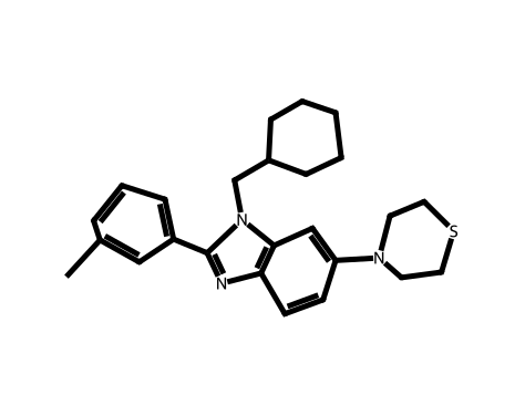 Cc1cccc(-c2nc3ccc(N4CCSCC4)cc3n2CC2CCCCC2)c1